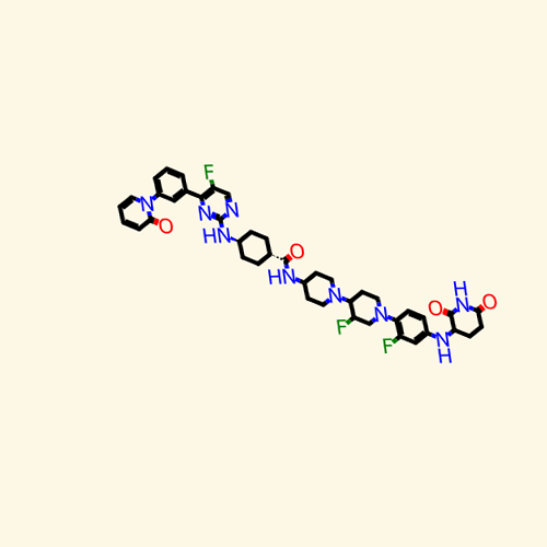 O=C1CCC(Nc2ccc(N3CCC(N4CCC(NC(=O)[C@H]5CC[C@H](Nc6ncc(F)c(-c7cccc(-n8ccccc8=O)c7)n6)CC5)CC4)C(F)C3)c(F)c2)C(=O)N1